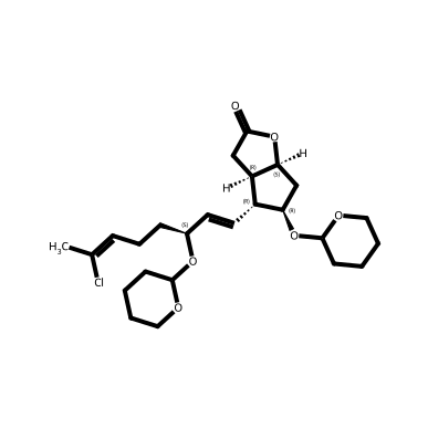 CC(Cl)=CCC[C@@H](C=C[C@@H]1[C@H]2CC(=O)O[C@H]2C[C@H]1OC1CCCCO1)OC1CCCCO1